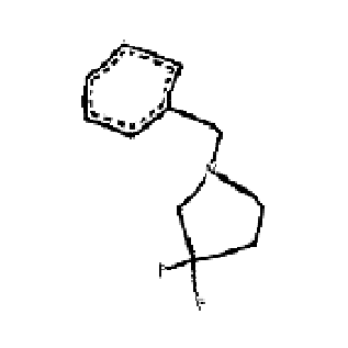 FC1(F)CCN(Cc2c[c]ccc2)C1